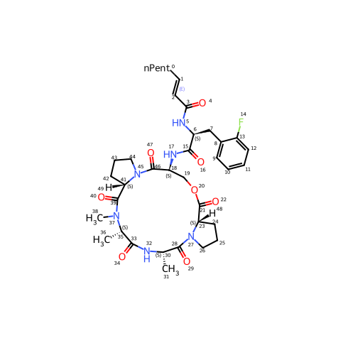 CCCCC/C=C/C(=O)N[C@@H](Cc1ccccc1F)C(=O)N[C@H]1COC(=O)[C@@H]2CCCN2C(=O)[C@H](C)NC(=O)[C@H](C)N(C)C(=O)[C@@H]2CCCN2C1=O